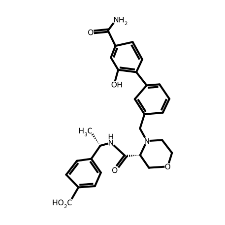 C[C@H](NC(=O)[C@H]1COCCN1Cc1cccc(-c2ccc(C(N)=O)cc2O)c1)c1ccc(C(=O)O)cc1